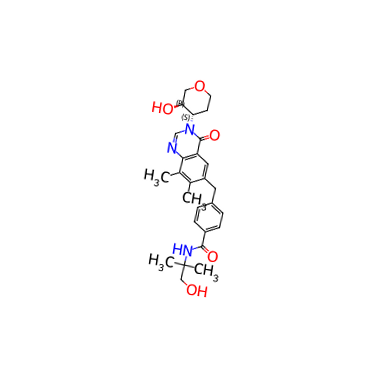 Cc1c(Cc2ccc(C(=O)NC(C)(C)CO)cc2)cc2c(=O)n([C@H]3CCOC[C@@H]3O)cnc2c1C